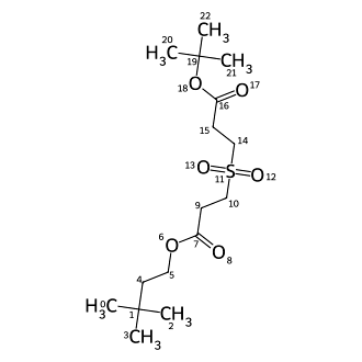 CC(C)(C)CCOC(=O)CCS(=O)(=O)CCC(=O)OC(C)(C)C